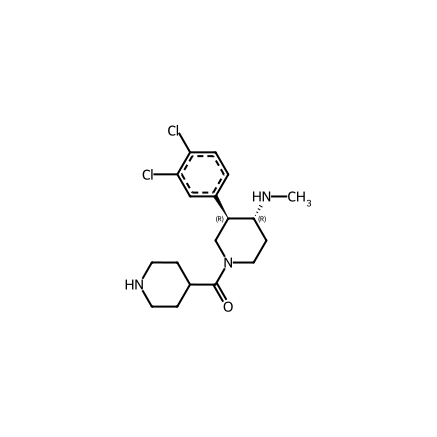 CN[C@@H]1CCN(C(=O)C2CCNCC2)C[C@H]1c1ccc(Cl)c(Cl)c1